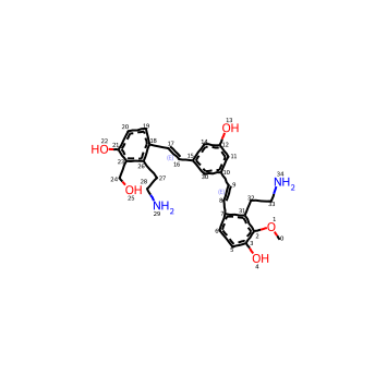 COc1c(O)ccc(/C=C/c2cc(O)cc(/C=C/c3ccc(O)c(CO)c3CCN)c2)c1CCN